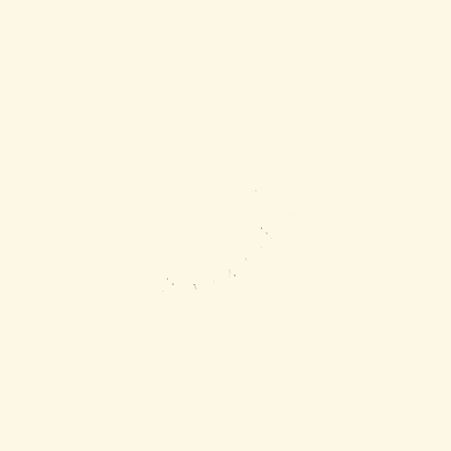 CC1CCN(Cc2nc(CN)cs2)CC1